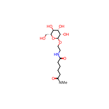 CNC(=O)CCCCC(=O)NCCO[C@H]1O[C@H](CO)[C@@H](O)[C@H](O)[C@@H]1O